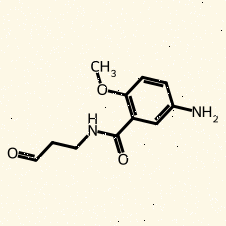 COc1ccc(N)cc1C(=O)NCCC=O